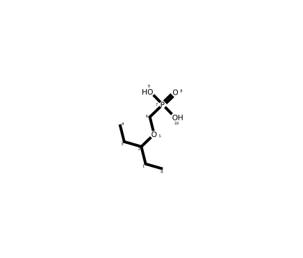 CCC(CC)OCP(=O)(O)O